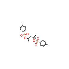 Cc1ccc(S(=O)(=O)OC(C)C[C@@H](C)OS(=O)(=O)c2ccc(C)cc2)cc1